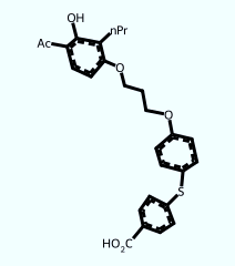 CCCc1c(OCCCOc2ccc(Sc3ccc(C(=O)O)cc3)cc2)ccc(C(C)=O)c1O